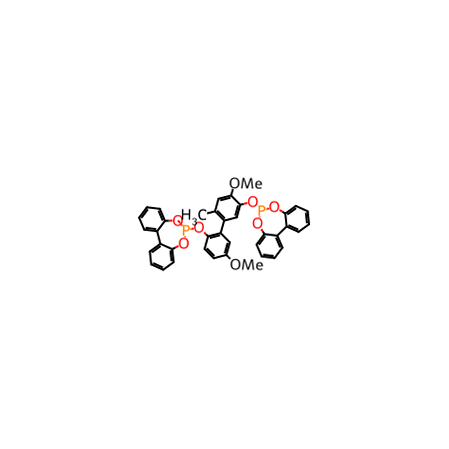 COc1ccc(Op2oc3ccccc3c3ccccc3o2)c(-c2cc(Op3oc4ccccc4c4ccccc4o3)c(OC)cc2C)c1